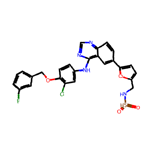 O=[SH](=O)NCc1ccc(-c2ccc3ncnc(Nc4ccc(OCc5cccc(F)c5)c(Cl)c4)c3c2)o1